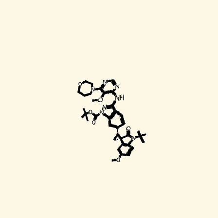 COc1ccc2c(c1)[C@]1(C[C@H]1c1ccc3c(Nc4ncnc(N5CCCOCC5)c4OC)nn(C(=O)OC(C)(C)C)c3c1)C(=O)N2C(C)(C)C